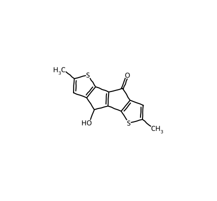 Cc1cc2c(s1)C1=C(C2=O)c2sc(C)cc2C1O